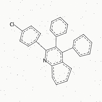 Clc1ccc(-c2nc3ccccc3c(-c3ccccc3)c2-c2ccccc2)cc1